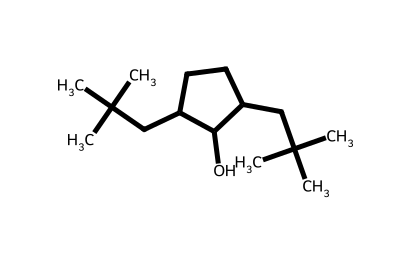 CC(C)(C)CC1CCC(CC(C)(C)C)C1O